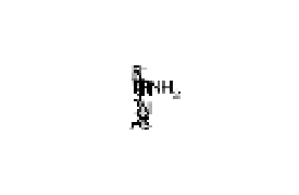 CCc1csc2cnc(CCSc3nc(N)cc(C(F)(F)F)n3)cc12